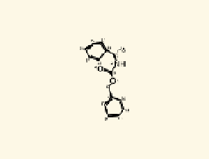 [CH2][C@H](NC(=O)OCc1ccccc1)c1ccccc1